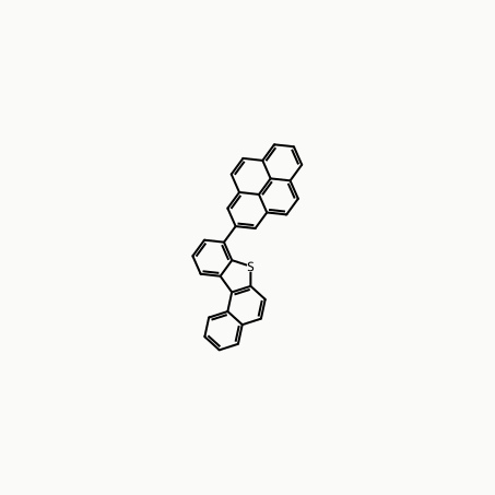 c1ccc2c(c1)ccc1sc3c(-c4cc5ccc6cccc7ccc(c4)c5c67)cccc3c12